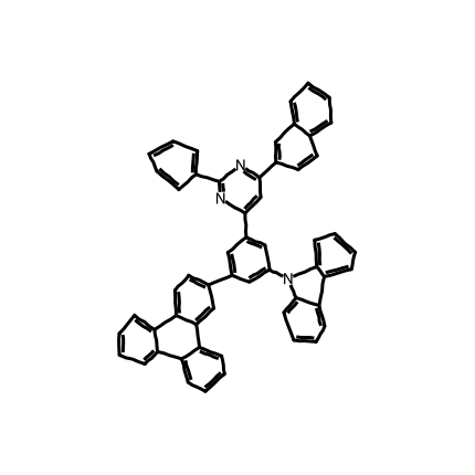 c1ccc(-c2nc(-c3cc(-c4ccc5c6ccccc6c6ccccc6c5c4)cc(-n4c5ccccc5c5ccccc54)c3)cc(-c3ccc4ccccc4c3)n2)cc1